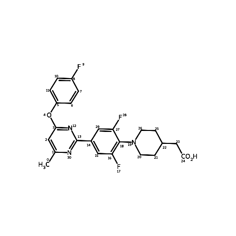 Cc1cc(Oc2ccc(F)cc2)nc(-c2cc(F)c(N3CCC(CC(=O)O)CC3)c(F)c2)n1